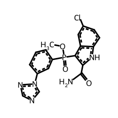 COP(=O)(c1cccc(-n2cncn2)c1)c1c(C(N)=O)[nH]c2ccc(Cl)cc12